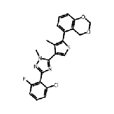 Cc1c(-c2nc(-c3c(F)cccc3Cl)nn2C)csc1-c1cccc2c1COCO2